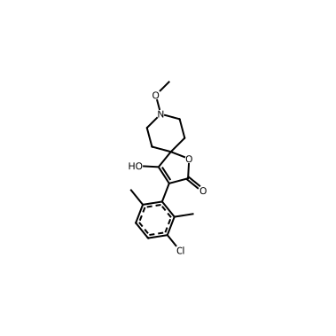 CON1CCC2(CC1)OC(=O)C(c1c(C)ccc(Cl)c1C)=C2O